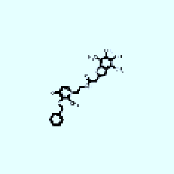 Cc1c(C)c2c(c(C)c1O)CC(CC(=O)NCCn1ccc(=O)c(OCc3ccccc3)c1C)O2